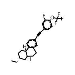 CC[C@@H]1CC[C@@H]2c3ccc(C#Cc4ccc(OC(F)(F)F)c(F)c4)cc3CC[C@@H]2C1